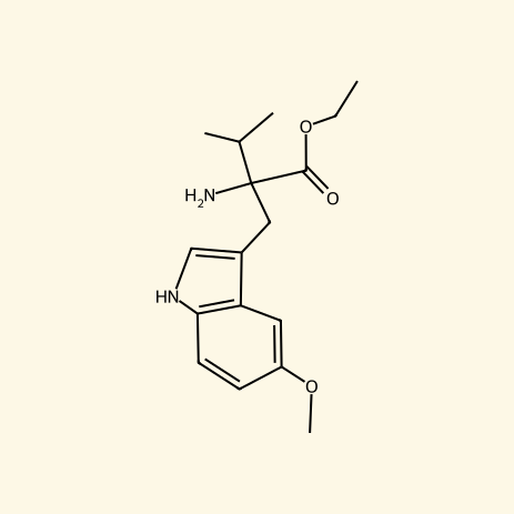 CCOC(=O)C(N)(Cc1c[nH]c2ccc(OC)cc12)C(C)C